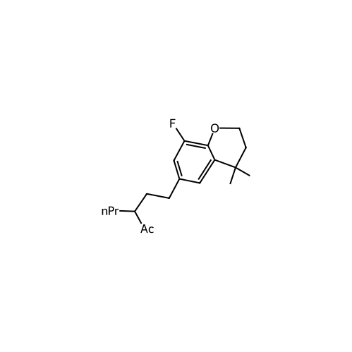 CCCC(CCc1cc(F)c2c(c1)C(C)(C)CCO2)C(C)=O